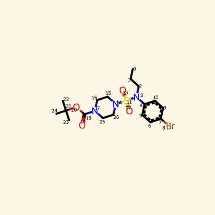 CCCN(c1ccc(Br)cc1)S(=O)(=O)N1CCN(C(=O)OC(C)(C)C)CC1